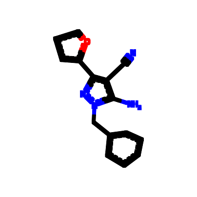 N#Cc1c(-c2ccco2)nn(Cc2ccccc2)c1N